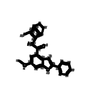 COc1cc(C(=O)NC2C3CCN(CC3)C2I)c2nc(-c3ccccc3)oc2c1